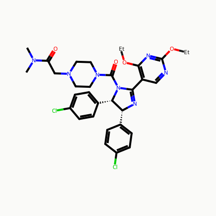 CCOc1ncc(C2=N[C@H](c3ccc(Cl)cc3)[C@H](c3ccc(Cl)cc3)N2C(=O)N2CCN(CC(=O)N(C)C)CC2)c(OCC)n1